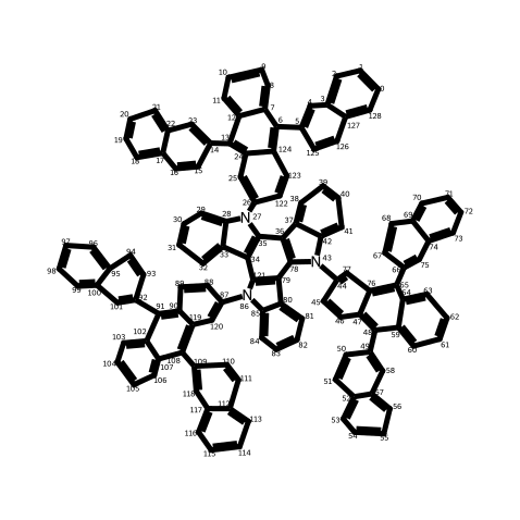 c1ccc2cc(-c3c4ccccc4c(-c4ccc5ccccc5c4)c4cc(-n5c6ccccc6c6c5c5c7ccccc7n(-c7ccc8c(-c9ccc%10ccccc%10c9)c9ccccc9c(-c9ccc%10ccccc%10c9)c8c7)c5c5c7ccccc7n(-c7ccc8c(-c9ccc%10ccccc%10c9)c9ccccc9c(-c9ccc%10ccccc%10c9)c8c7)c65)ccc34)ccc2c1